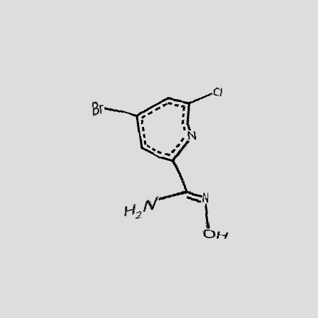 N/C(=N\O)c1cc(Br)cc(Cl)n1